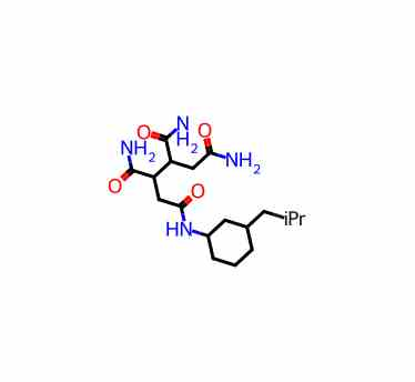 CC(C)CC1CCCC(NC(=O)CC(C(N)=O)C(CC(N)=O)C(N)=O)C1